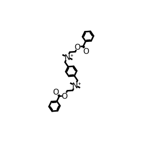 C[N+](C)(CCOC(=O)c1ccccc1)Cc1ccc(C[N+](C)(C)CCOC(=O)c2ccccc2)cc1